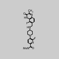 CNC(=O)c1ccc(N2CCC(NCc3ccc4nc(C)c(=O)[nH]c4c3F)CC2)c(F)n1